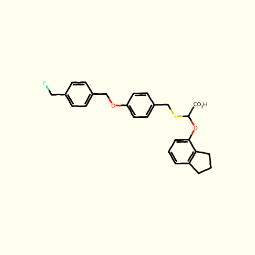 O=C(O)C(Oc1cccc2c1CCC2)SCc1ccc(OCc2ccc(CF)cc2)cc1